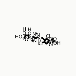 O=P(O)(O)Oc1c(Cl)cc(Cl)c(CNc2ncnc3c2ncn3[C@@H]2O[C@H](CO)[C@@H](O)[C@H]2O)c1Cl